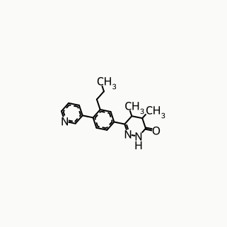 CCCc1cc(C2=NNC(=O)C(C)C2C)ccc1-c1cccnc1